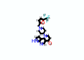 O=c1ccn(C2CCN(Cc3ccc(C(F)(F)F)o3)CC2)c2c1cnc1[nH]ccc12